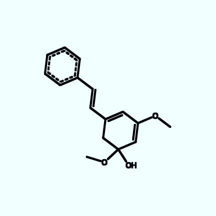 COC1=CC(O)(OC)CC(C=Cc2ccccc2)=C1